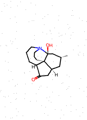 C[C@@H]1C[C@H]2CC(=O)[C@H]3CCCN4CCC[C@]23[C@@]4(O)C1